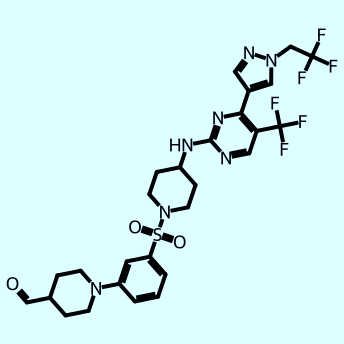 O=CC1CCN(c2cccc(S(=O)(=O)N3CCC(Nc4ncc(C(F)(F)F)c(-c5cnn(CC(F)(F)F)c5)n4)CC3)c2)CC1